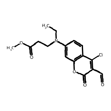 CCN(CCC(=O)OC)c1ccc2c(Cl)c(C=O)c(=O)oc2c1